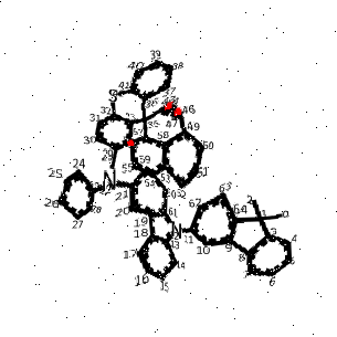 CC1(C)c2ccccc2-c2cc(-n3c4ccccc4c4cc(N(c5ccccc5)c5ccc6c(c5)C5(c7ccccc7S6)c6ccccc6-c6cccc7cccc5c67)ccc43)ccc21